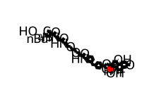 CCCCC(C)SC(CC(=O)O)C(=O)NCCC(=O)NCCOCCOCCC(=O)Nc1cccc(Cc2ccc([C@@H]3O[C@@H]4CC5[C@@H]6C[C@H](F)C7=CC(=O)C=C[C@]7(C)[C@@]6(F)[C@@H](O)C[C@]5(C)[C@]4(C(=O)CO)O3)cc2)c1